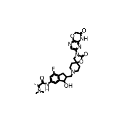 C[C@H](C(=O)Nc1cc(F)c2c(c1)C(O)C(CN1CCC3(CC1)CN(c1cnc4c(n1)NC(=O)CO4)C(=O)O3)C2)N(C)C